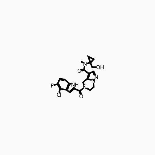 CN(C(=O)c1cnn2c1CN(C(=O)c1cc3c(Cl)c(F)ccc3[nH]1)CC2)C1(CO)CC1